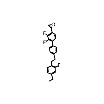 CCc1ccc(CCc2ccc(-c3ccc(C4CO4)c(F)c3F)cc2)c(F)c1